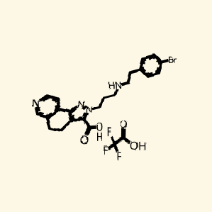 O=C(O)C(F)(F)F.O=C(O)c1c2c(nn1CCCNCCc1ccc(Br)cc1)-c1ccncc1CC2